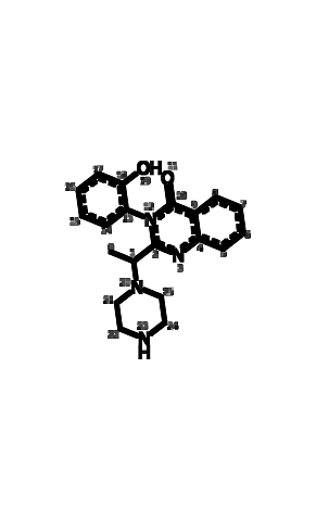 CC(c1nc2ccccc2c(=O)n1-c1ccccc1O)N1CCNCC1